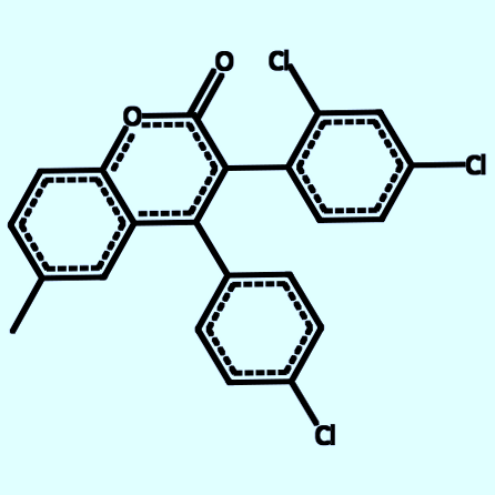 Cc1ccc2oc(=O)c(-c3ccc(Cl)cc3Cl)c(-c3ccc(Cl)cc3)c2c1